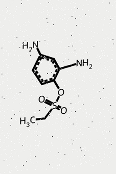 CCS(=O)(=O)Oc1ccc(N)cc1N